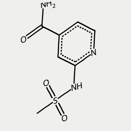 CS(=O)(=O)Nc1cc(C(N)=O)ccn1